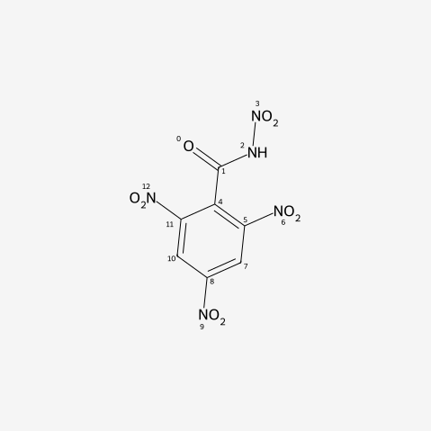 O=C(N[N+](=O)[O-])c1c([N+](=O)[O-])cc([N+](=O)[O-])cc1[N+](=O)[O-]